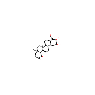 CC(=O)CC12CCC(C)(C)C(O)C1C1=CCC3C(CCC4C(C)(CO)C(O)C(O)CC34C)C1(C)CC2